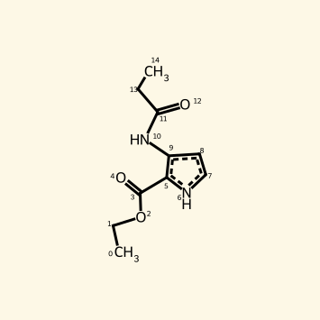 CCOC(=O)c1[nH]ccc1NC(=O)CC